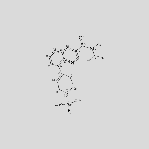 CC(C)N(C)C(=O)c1cnc2c(C3=CC[C@@H](C(F)(F)F)CC3)cccc2c1